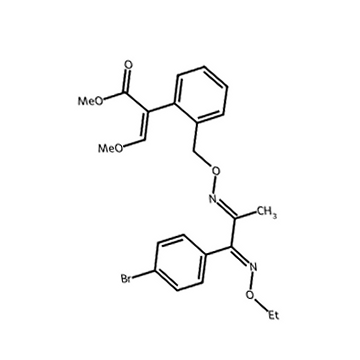 CCO/N=C(/C(C)=N/OCc1ccccc1/C(=C/OC)C(=O)OC)c1ccc(Br)cc1